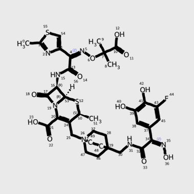 Cc1nc(/C(=N/OC(C)(C)C(=O)O)C(=O)N[C@@H]2C(=O)N3C(C(=O)O)=C(C[N+]45CCC(CNC(=O)/C(=N\O)c6cc(O)c(O)c(F)c6)(CC4)CC5)[C@H](C)S[C@H]23)cs1